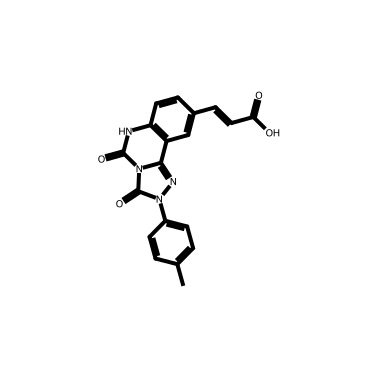 Cc1ccc(-n2nc3c4cc(C=CC(=O)O)ccc4[nH]c(=O)n3c2=O)cc1